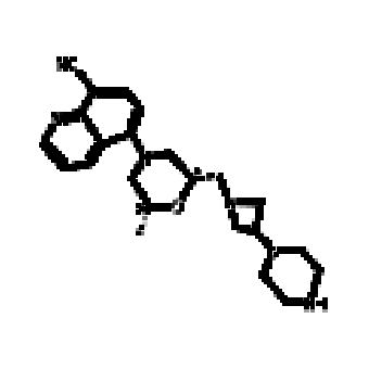 C[C@@H]1CN(c2ccc(C#N)c3ncccc23)C[C@H](CN2CC(N3CCNCC3)C2)O1